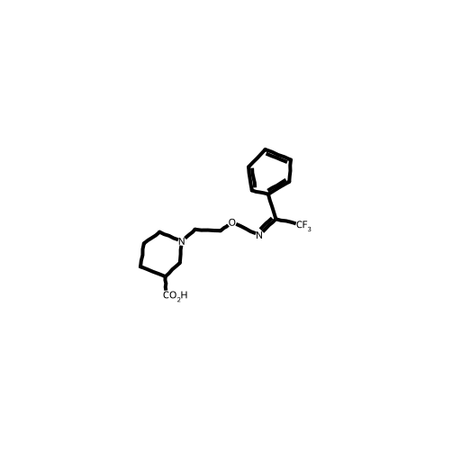 O=C(O)C1CCCN(CCON=C(c2ccccc2)C(F)(F)F)C1